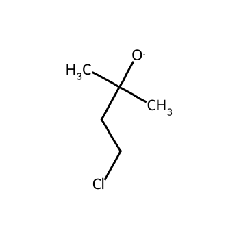 CC(C)([O])CCCl